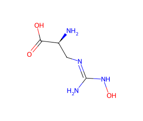 N/C(=N\C[C@H](N)C(=O)O)NO